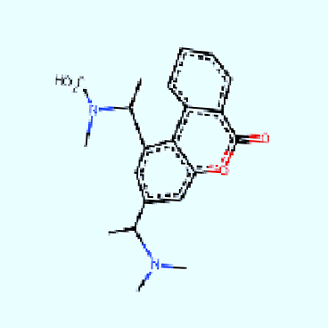 CC(c1cc(C(C)N(C)C(=O)O)c2c(c1)oc(=O)c1ccccc12)N(C)C